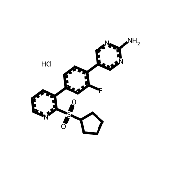 Cl.Nc1ncc(-c2ccc(-c3cccnc3S(=O)(=O)C3CCCC3)cc2F)cn1